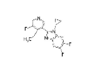 CCc1c(F)cncc1-c1nc2cc(F)c(F)cc2n1C1CC1